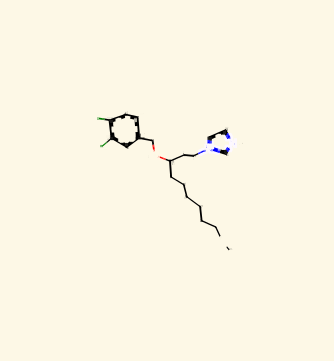 CCCCCCCCC(CCn1ccnc1)OCc1ccc(Cl)c(Cl)c1